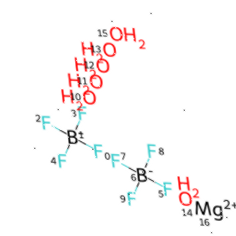 F[B-](F)(F)F.F[B-](F)(F)F.O.O.O.O.O.O.[Mg+2]